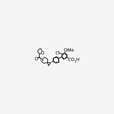 COc1cc(C(=O)O)cc(-c2ccc([C@H]3CC34CCN(C(=O)C3CCCO3)CC4)cc2)c1Cl